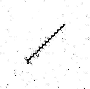 CCCCCCCCCCCCCCCCCCNC(=O)CCCCC(N)=O